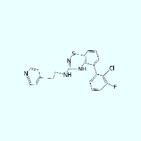 Fc1cccc(-c2cccc3c2NC(NCCc2ccncc2)=NS3)c1Cl